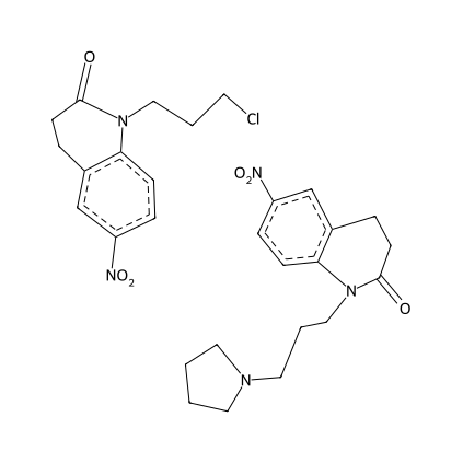 O=C1CCc2cc([N+](=O)[O-])ccc2N1CCCCl.O=C1CCc2cc([N+](=O)[O-])ccc2N1CCCN1CCCC1